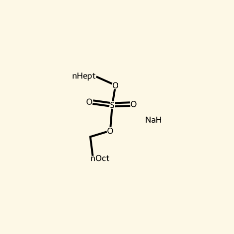 CCCCCCCCCOS(=O)(=O)OCCCCCCC.[NaH]